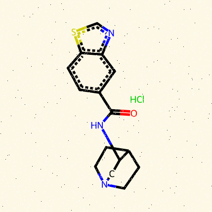 Cl.O=C(NC1CN2CCC1CC2)c1ccc2scnc2c1